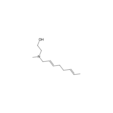 CC=CCCC=CCN(C)CCO